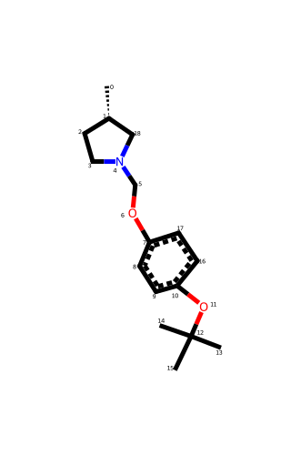 C[C@H]1CCN(COc2ccc(OC(C)(C)C)cc2)C1